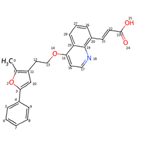 Cc1oc(-c2ccccc2)cc1CCOc1ccnc2c(C=CC(=O)O)cccc12